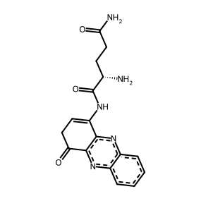 NC(=O)CC[C@H](N)C(=O)NC1=CCC(=O)c2nc3ccccc3nc21